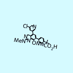 CNc1ncc2c(-c3cncc(Cl)c3)cc(-c3ccc(C(C)(C)C(=O)O)cc3)c(OC)c2n1